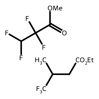 CCOC(=O)CC(C)C(F)(F)F.COC(=O)C(F)(F)C(F)F